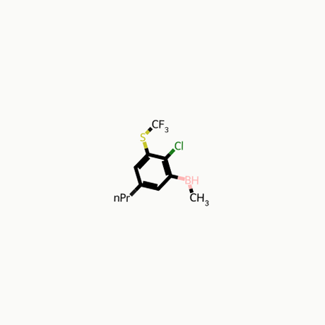 CBc1cc(CCC)cc(SC(F)(F)F)c1Cl